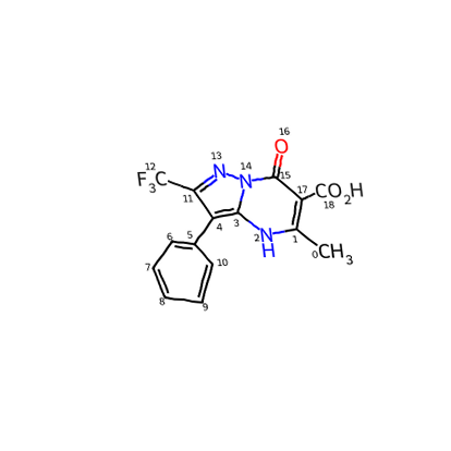 Cc1[nH]c2c(-c3ccccc3)c(C(F)(F)F)nn2c(=O)c1C(=O)O